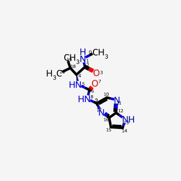 CNC(=O)[C@@H](NC(=O)Nc1cnc2[nH]ccc2n1)C(C)C